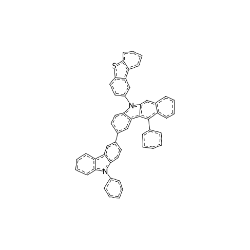 c1ccc(-c2c3ccccc3cc3c2c2cc(-c4ccc5c(c4)c4ccccc4n5-c4ccccc4)ccc2n3-c2ccc3sc4ccccc4c3c2)cc1